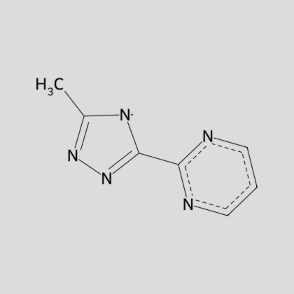 CC1=NN=C(c2ncccn2)[N]1